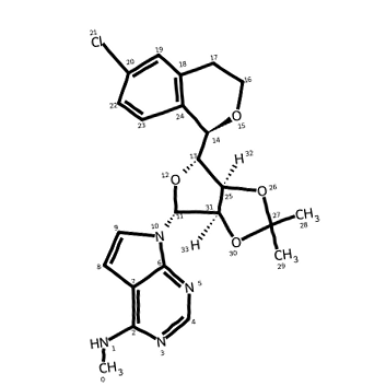 CNc1ncnc2c1ccn2[C@@H]1O[C@H]([C@@H]2OCCc3cc(Cl)ccc32)[C@H]2OC(C)(C)O[C@H]21